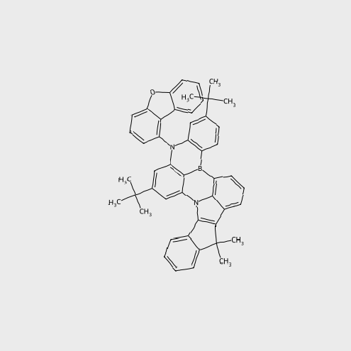 CC(C)(C)c1ccc2c(c1)N(c1cccc3oc4ccccc4c13)c1cc(C(C)(C)C)cc3c1B2c1cccc2c4c(n-3c12)-c1ccccc1C4(C)C